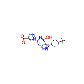 CC(C)(C)[C@H]1CC[C@@H](n2ncc3nc(-n4cc(C(=O)O)cn4)nc(O)c32)CC1